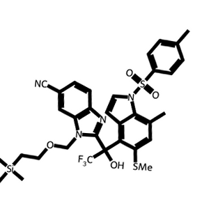 CSc1cc(C)c2c(ccn2S(=O)(=O)c2ccc(C)cc2)c1C(O)(c1nc2ccc(C#N)cc2n1COCC[Si](C)(C)C)C(F)(F)F